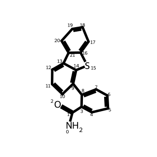 NC(=O)c1ccccc1-c1cccc2c1sc1ccccc12